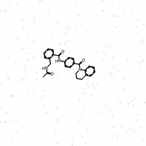 CC(=O)NCc1ccccc1C(=O)Nc1ccc(C(=O)N2CCCc3ccccc32)cc1